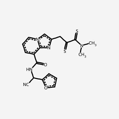 CN(C)C(=S)C(=S)Cc1cn2cccc(C(=O)NC(C#N)c3ccco3)c2n1